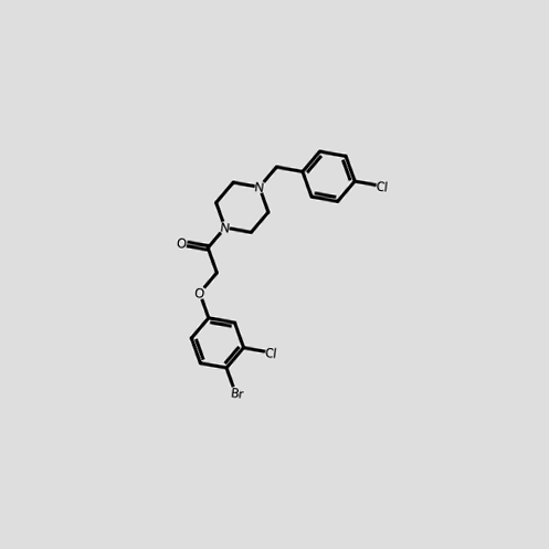 O=C(COc1ccc(Br)c(Cl)c1)N1CCN(Cc2ccc(Cl)cc2)CC1